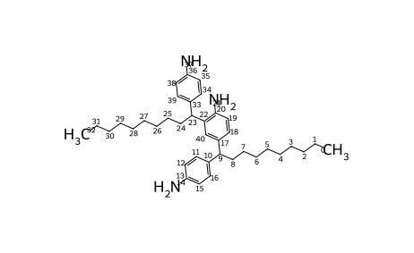 CCCCCCCCCC(c1ccc(N)cc1)c1ccc(N)c(C(CCCCCCCCC)c2ccc(N)cc2)c1